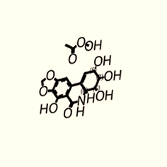 CC(=O)OO.O=C1N[C@@H]2C(=C[C@H](O)[C@@H](O)[C@H]2O)c2cc3c(c(O)c21)OCO3